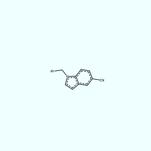 CC(C)Cn1ccc2cc(C#N)ccc21